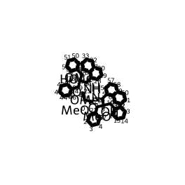 COc1ccccc1CC(O)(Cc1ccccc1OC)[C@@H](NC(=O)CC(=O)N[C@@H](c1cccc2ccccc12)C(O)(Cc1ccccc1OC)Cc1ccccc1OC)c1cccc2ccccc12